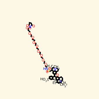 CCC1=CC(C)(C)N2CCCc3c4c(cc1c32)C(c1ccc(S(=O)(=O)O)cc1S(=O)(=O)O)=c1cc2c3c(c1O4)CCC[N+]=3C(C)(C)C=C2CS(=O)(=O)NCCOCCOCCOCCOCCOCCOCCOCCOCCC(=O)ON1C(=O)CCC1=O